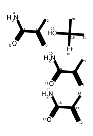 C=C(C)C(N)=O.C=C(C)C(N)=O.C=C(C)C(N)=O.CCC(C)(C)O